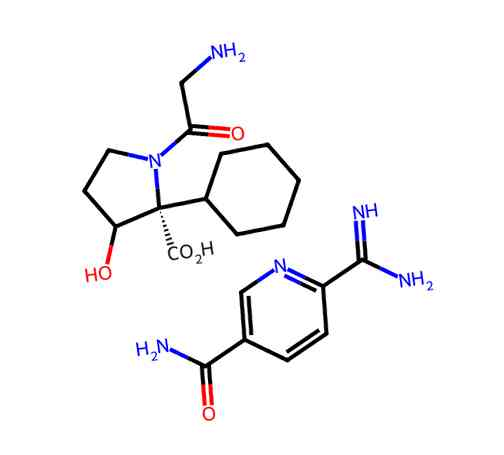 N=C(N)c1ccc(C(N)=O)cn1.NCC(=O)N1CCC(O)[C@]1(C(=O)O)C1CCCCC1